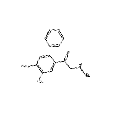 CC(=O)Oc1ccc(C(=O)CNC(C)(C)C)cc1OC(C)=O.c1ccccc1